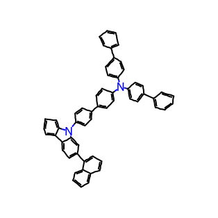 c1ccc(-c2ccc(N(c3ccc(-c4ccccc4)cc3)c3ccc(-c4ccc(-n5c6ccccc6c6ccc(-c7cccc8ccccc78)cc65)cc4)cc3)cc2)cc1